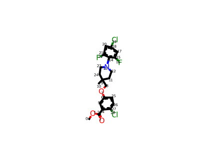 COC(=O)c1cc(OCC2(C)CCN(c3c(F)cc(Cl)cc3F)CC2)ccc1Cl